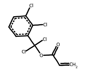 C=CC(=O)OC(Cl)(Cl)c1cccc(Cl)c1Cl